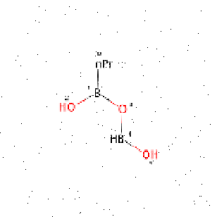 CCCB(O)OBO